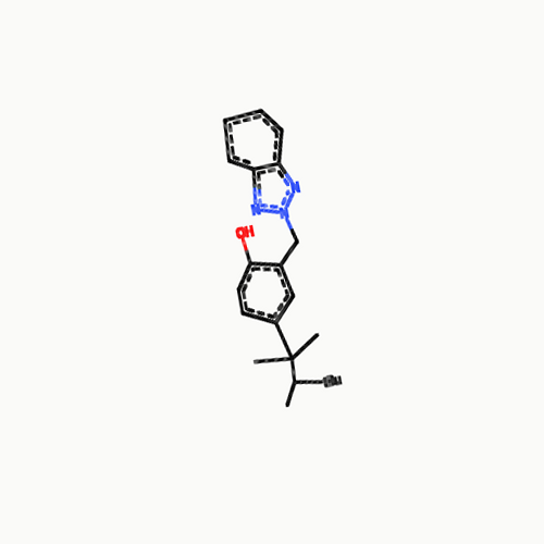 CC(C(C)(C)C)C(C)(C)c1ccc(O)c(Cn2nc3ccccc3n2)c1